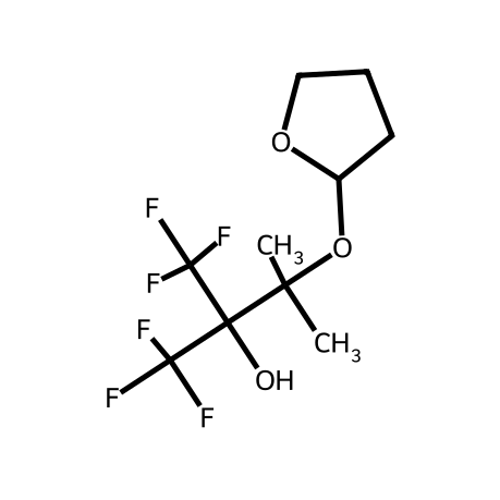 CC(C)(OC1CCCO1)C(O)(C(F)(F)F)C(F)(F)F